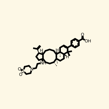 C=C(C)[C@@H]1CCC2(NCCN3CCS(=O)(=O)CC3)CC[C@@H](C)[C@]3(C)CC[C@H]4C(C)(C)C(c5ccc(C(=O)O)cc5)=CC[C@]4(C)[C@H]3CCC[C@@H]12